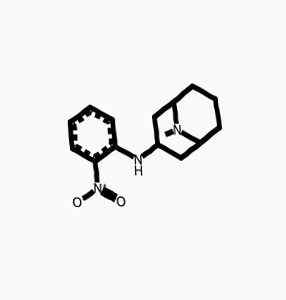 CN1C2CCCC1CC(Nc1ccccc1[N+](=O)[O-])C2